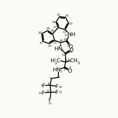 CC(C)(C(=O)NCCC(F)(F)C(F)(F)F)C(=O)N[C@@H]1C(=O)Nc2ccccc2-c2ccccc21